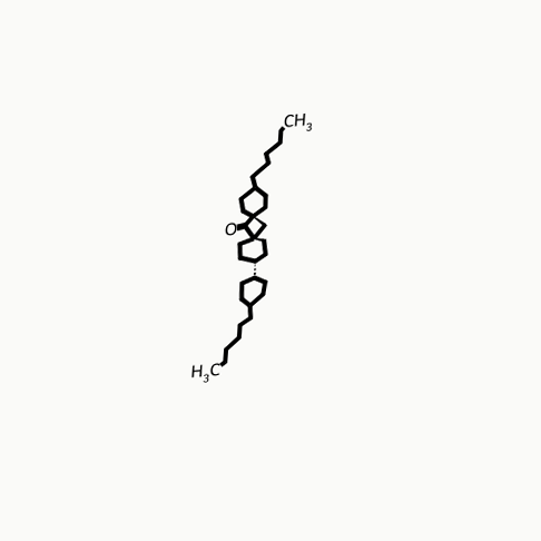 CCCCCCC1CCC([C@H]2CC[C@]3(CC2)C[C@@]2(CCC(CCCCCC)CC2)C3=O)CC1